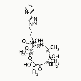 B[C@@H]1CC(=O)[C@@H](C)C(O)O[C@H](CC)[C@@]2(C)OC(=O)N(CCCCn3cc(-c4ccccn4)nn3)[C@@H]2[C@@H](C)NC[C@H](C)C[C@]1(C)O